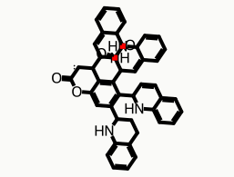 O=C1[C]C(C2C=C3C=CC=CC3C(=O)N2)c2c(cc(C3CCc4ccccc4N3)c(C3C=Cc4ccccc4N3)c2C2C=C3C=CC=CC3NC2=O)O1